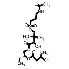 CC[C@H](COC(=O)C(O)C(C)(C)COS(=O)(=O)CCCNC(C)=O)OC(=O)CC(C)C